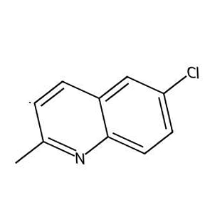 Cc1[c]cc2cc(Cl)ccc2n1